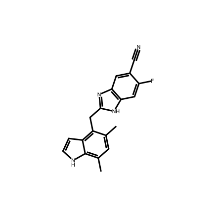 Cc1cc(C)c2[nH]ccc2c1Cc1nc2cc(C#N)c(F)cc2[nH]1